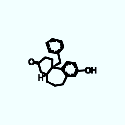 O=C1CC[C@]2(Cc3ccccc3)c3ccc(O)cc3CCC[C@@H]2C1